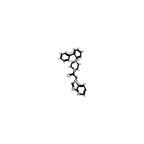 O=C(Cn1cnc2ncccc21)N1CCN(c2ccccc2-c2ccccc2)CC1